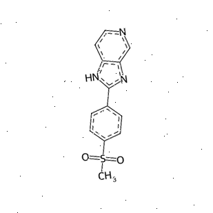 CS(=O)(=O)c1ccc(-c2nc3cnccc3[nH]2)cc1